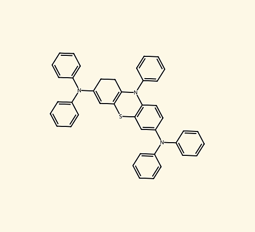 C1=C(N(c2ccccc2)c2ccccc2)CCC2=C1Sc1cc(N(c3ccccc3)c3ccccc3)ccc1N2c1ccccc1